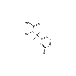 COC(=O)C(C#N)C(C)(C)c1cccc(Br)c1